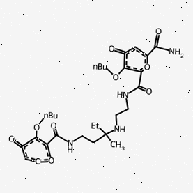 CCCCOc1c(C(=O)NCCC(C)(CC)NCCNC(=O)c2oc(C(N)=O)cc(=O)c2OCCCC)occc1=O